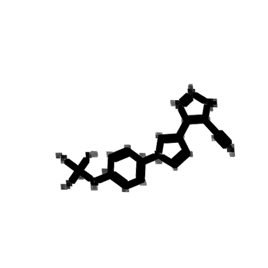 N#Cc1[nH]nnc1-c1ccn(-c2ccc(OC(F)(F)F)cc2)c1